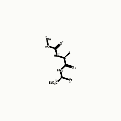 CCOC(=O)[C@@H](NC(=O)[C@H](C)NC(=O)OC(C)(C)C)C(C)C